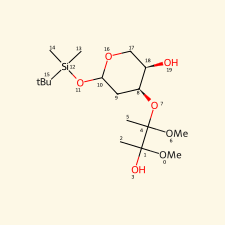 COC(C)(O)C(C)(OC)O[C@H]1CC(O[Si](C)(C)C(C)(C)C)OC[C@H]1O